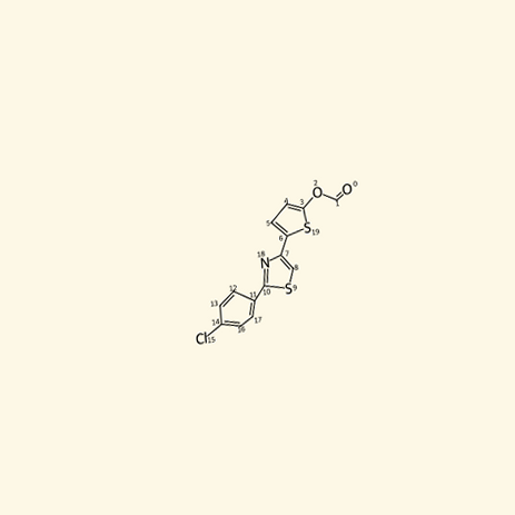 O=COc1ccc(-c2csc(-c3ccc(Cl)cc3)n2)s1